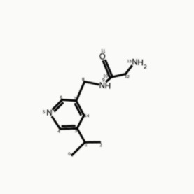 CC(C)c1cncc(CNC(=O)CN)c1